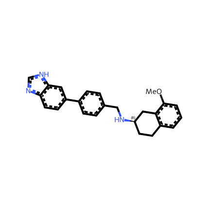 COc1cccc2c1C[C@H](NCc1ccc(-c3ccc4nc[nH]c4c3)cc1)CC2